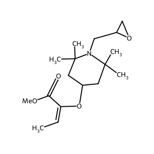 CC=C(OC1CC(C)(C)N(CC2CO2)C(C)(C)C1)C(=O)OC